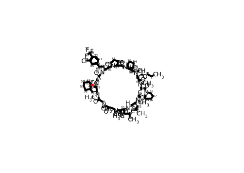 CCCOC[C@H]1C(=O)N(C)[C@H](C(=O)N2CCCCC2)CC(=O)N(C)[C@@H](CC(C)C)C(=O)N[C@@H]([C@@H](C)CC)C(=O)N(C)CC(=O)N(C)CC(=O)N(C)[C@@H](CC2CCCCC2)C(=O)N(C)CC(=O)N[C@@H](CCc2ccc(C(F)(F)F)c(Cl)c2)C(=O)N2CCC[C@H]2C(=O)NC2(CCCC2)C(=O)N1C